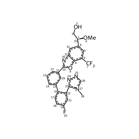 CO[C@H](CO)c1cc(C(F)(F)F)c2oc(-c3cccc(-c4ccc(F)cc4-c4nncn4C)c3)nc2c1